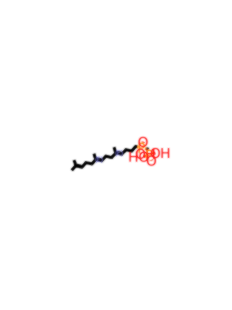 CC(C)=CCC/C(C)=C/CC/C(C)=C/CCCP(=O)(O)CP(=O)(O)O